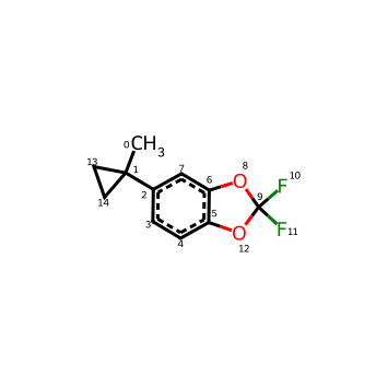 CC1(c2ccc3c(c2)OC(F)(F)O3)CC1